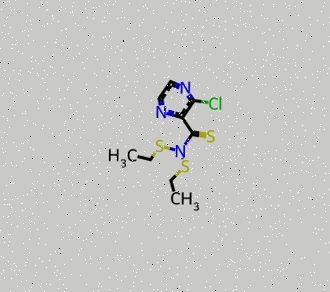 CCSN(SCC)C(=S)c1nccnc1Cl